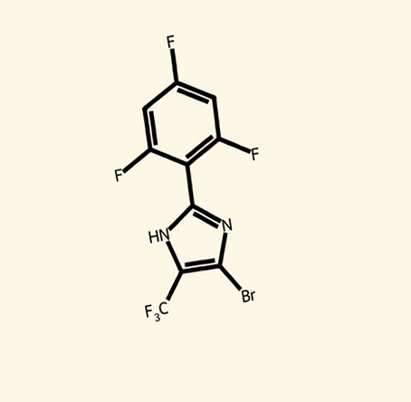 Fc1cc(F)c(-c2nc(Br)c(C(F)(F)F)[nH]2)c(F)c1